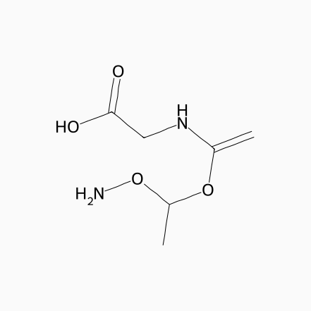 C=C(NCC(=O)O)OC(C)ON